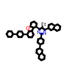 CCc1c(-c2ccc3ccccc3c2)nc(-c2ccc(-c3ccc4ccccc4c3)cc2)nc1-c1cccc2oc3c(-c4ccc(-c5ccccc5)cc4)cccc3c12